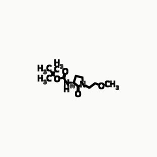 COCCN1CC[C@H](NC(=O)OC(C)(C)C)C1=O